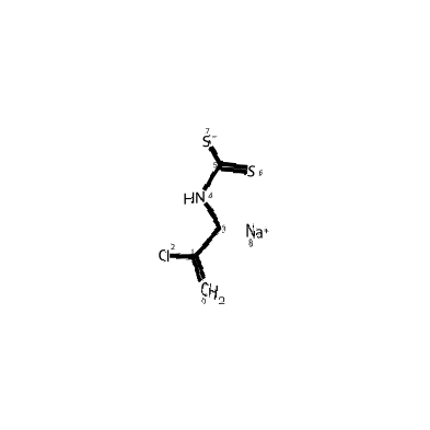 C=C(Cl)CNC(=S)[S-].[Na+]